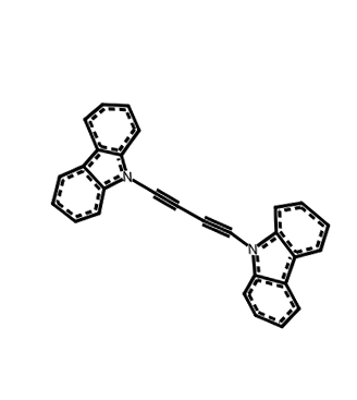 C(C#Cn1c2ccccc2c2ccccc21)#Cn1c2ccccc2c2ccccc21